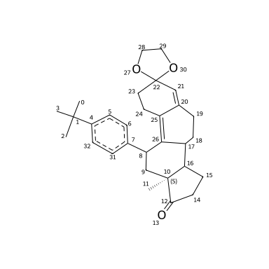 CC(C)(C)c1ccc(C2C[C@]3(C)C(=O)CCC3C3CCC4=CC5(CCC4=C23)OCCO5)cc1